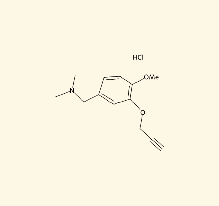 C#CCOc1cc(CN(C)C)ccc1OC.Cl